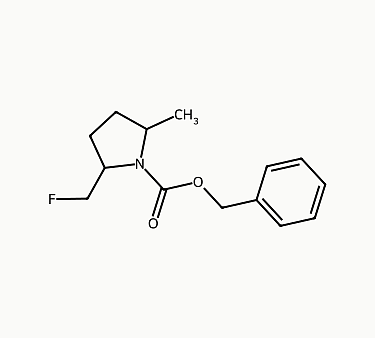 CC1CCC(CF)N1C(=O)OCc1ccccc1